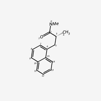 CNC(=O)[C@H](C)Cc1cccc2ccccc12